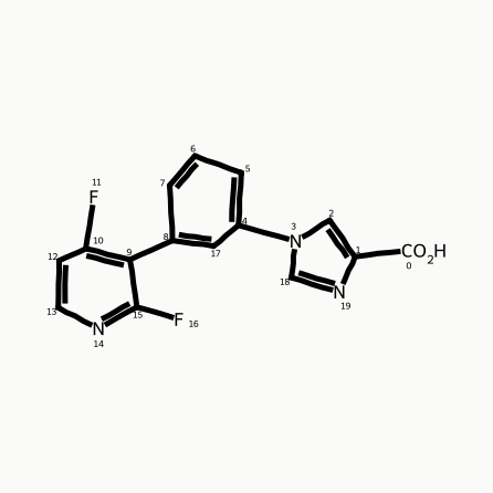 O=C(O)c1cn(-c2cccc(-c3c(F)ccnc3F)c2)cn1